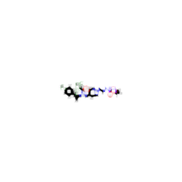 CC(C)(C)OC(=O)NCCN1CCC(CN(C(=O)C(F)(F)F)C2CC2c2ccc(F)cc2)CC1